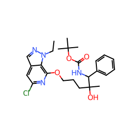 CCn1ncc2cc(Cl)nc(OCCCC(C)(O)C(NC(=O)OC(C)(C)C)c3ccccc3)c21